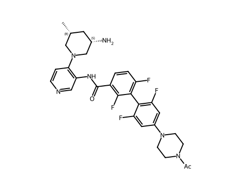 CC(=O)N1CCN(c2cc(F)c(-c3c(F)ccc(C(=O)Nc4cnccc4N4C[C@H](C)C[C@H](N)C4)c3F)c(F)c2)CC1